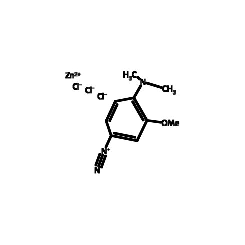 COc1cc([N+]#N)ccc1N(C)C.[Cl-].[Cl-].[Cl-].[Zn+2]